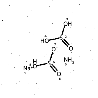 N.O=S(O)O.O=S([O-])O.[Na+]